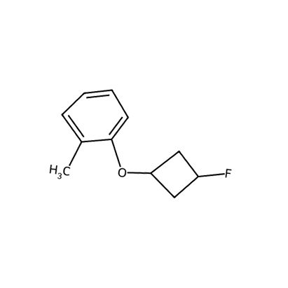 Cc1ccccc1OC1CC(F)C1